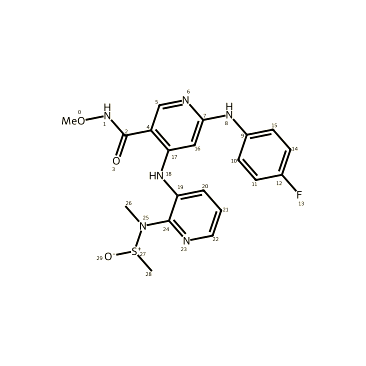 CONC(=O)c1cnc(Nc2ccc(F)cc2)cc1Nc1cccnc1N(C)[S+](C)[O-]